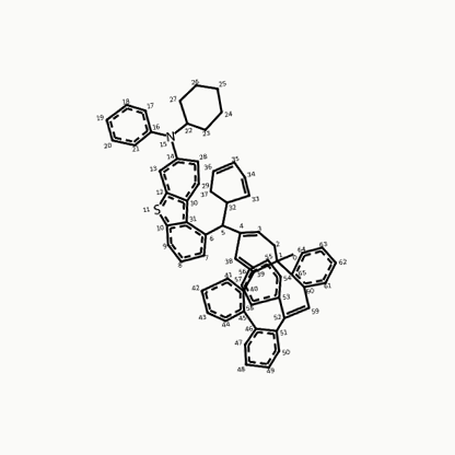 CC12CC=C(C(c3cccc4sc5cc(N(c6ccccc6)C6CCCCC6)ccc5c34)C3C=CC=CC3)C=C1c1ccccc1-c1ccccc1/C(c1ccccc1)=C/c1ccccc12